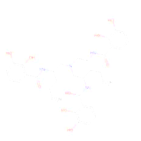 O=C(O)CCC(CN(CCNC(=O)c1cccc(O)c1O)CC(CCC(=O)O)NC(O)c1cccc(O)c1O)NC(=O)c1cccc(O)c1O